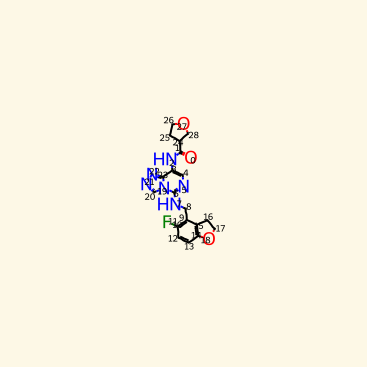 O=C(Nc1cnc(NCc2c(F)ccc3c2CCO3)n2cnnc12)C1CCOC1